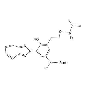 C=C(C)C(=O)OCCc1cc(C(CC)CCCCC)cc(-n2nc3ccccc3n2)c1O